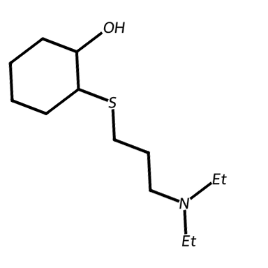 CCN(CC)CCCSC1CCCCC1O